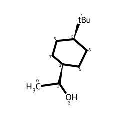 CC(O)[C@H]1CC[C@@H](C(C)(C)C)CC1